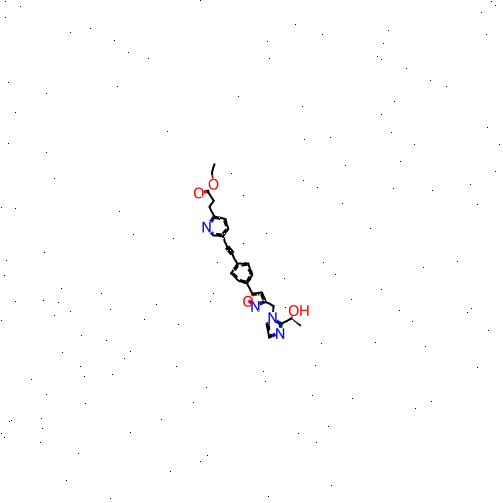 CCOC(=O)CCc1ccc(C#Cc2ccc(-c3cc(Cn4ccnc4[C@H](C)O)no3)cc2)cn1